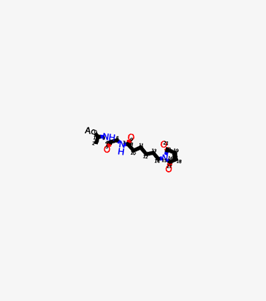 CC(=O)C(C)NC(=O)CNC(=O)CCCCCN1C(=O)C=CC1=O